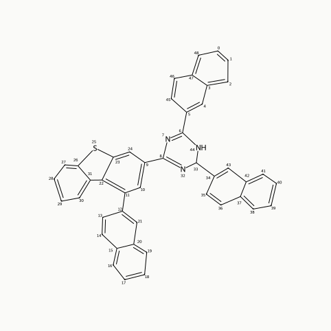 c1ccc2cc(C3=NC(c4cc(-c5ccc6ccccc6c5)c5c(c4)sc4ccccc45)=NC(c4ccc5ccccc5c4)N3)ccc2c1